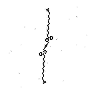 O=C(CCCCCCCCCCC1CC1)OCC#CCOC(=O)CCCCCCCCCCC1CC1